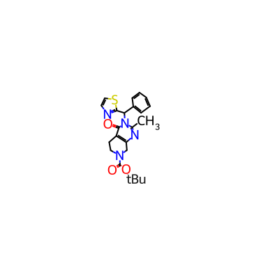 Cc1nc2c(c(=O)n1C(c1ccccc1)c1nccs1)CCN(C(=O)OC(C)(C)C)C2